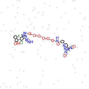 C[C@@H]1COCCN1c1nc(N2CCOC[C@H]2C)c2ccc(-c3cccc(C(=O)NCCOCCOCCOCCOCCOCCOCCN(C)c4nc(N5CCNCC5)c5cc(Cl)c(-c6cc(O)cc7ccccc67)c(F)c5n4)c3)nc2n1